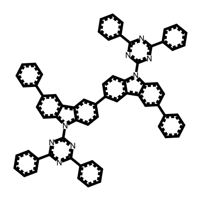 c1ccc(-c2ccc3c(c2)c2cc(-c4ccc5c(c4)c4cc(-c6ccccc6)ccc4n5-c4nc(-c5ccccc5)nc(-c5ccccc5)n4)ccc2n3-c2nc(-c3ccccc3)nc(-c3ccccc3)n2)cc1